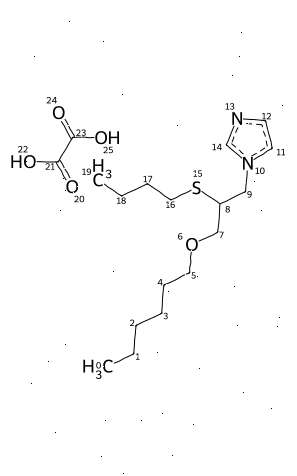 CCCCCCOCC(Cn1ccnc1)SCCCC.O=C(O)C(=O)O